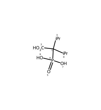 CC(C)C(C(=O)O)(C(C)C)P(=O)(O)O